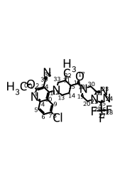 COc1nc2ccc(Cl)cc2c(N2CCC(C(=O)N3CCn4c(nnc4C(F)(F)F)C3)C(C)C2)c1C#N